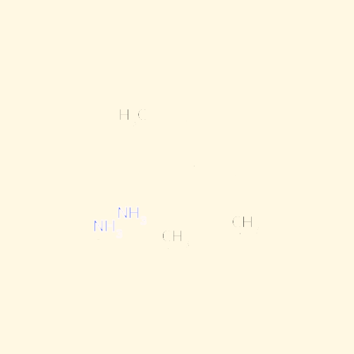 CCC(CC)CC.N.N